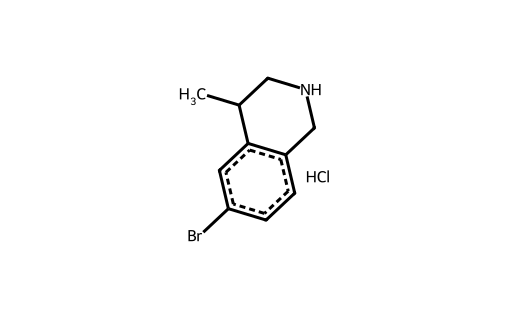 CC1CNCc2ccc(Br)cc21.Cl